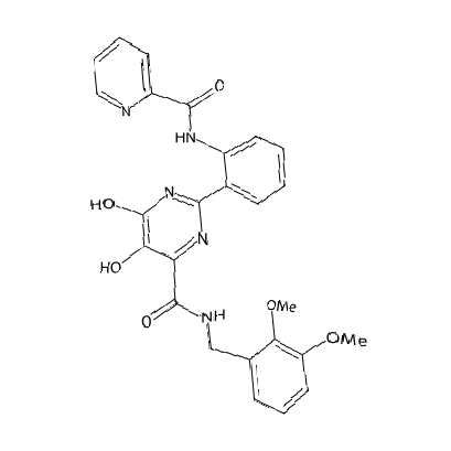 COc1cccc(CNC(=O)c2nc(-c3ccccc3NC(=O)c3ccccn3)nc(O)c2O)c1OC